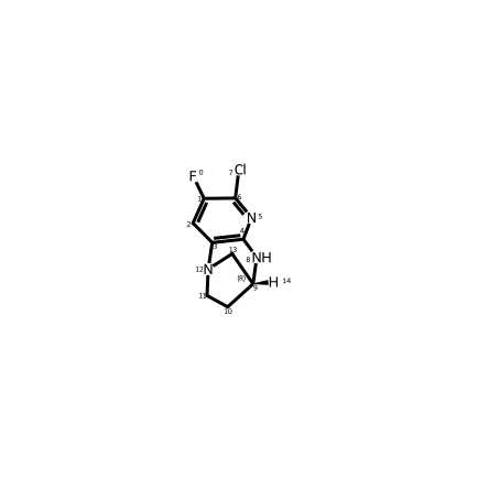 Fc1cc2c(nc1Cl)N[C@@H]1CCN2C1